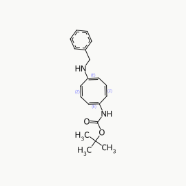 CC(C)(C)OC(=O)NC1=C/C=C\C(NCc2ccccc2)=C/C=C\1